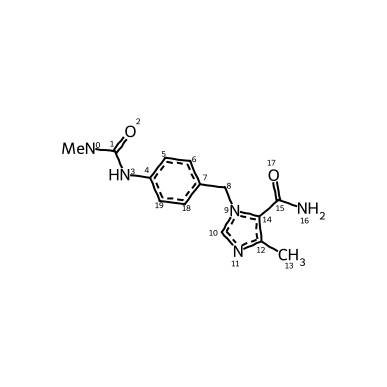 CNC(=O)Nc1ccc(Cn2cnc(C)c2C(N)=O)cc1